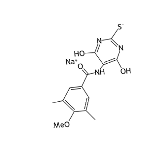 COc1c(C)cc(C(=O)Nc2c(O)nc([S-])nc2O)cc1C.[Na+]